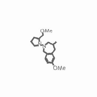 COCC1CCCN1N1Cc2ccc(OC)cc2CC(C)C1